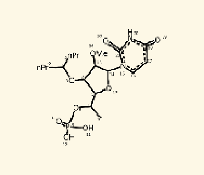 CCCC(CCC)OC1C(C(C)OP(=O)(O)O)OC(n2ccc(=O)[nH]c2=O)C1OC